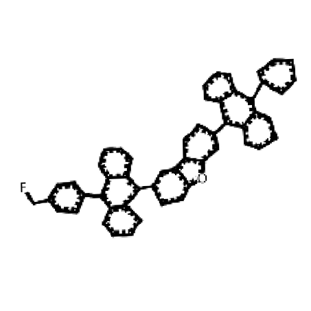 FCc1ccc(-c2c3ccccc3c(-c3ccc4oc5cc(-c6c7ccccc7c(-c7ccccc7)c7ccccc67)ccc5c4c3)c3ccccc23)cc1